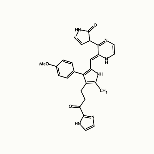 COc1ccc(-c2c(C=C3NC=CN=C3C3C=NNC3=O)[nH]c(C)c2CCC(=O)c2ncc[nH]2)cc1